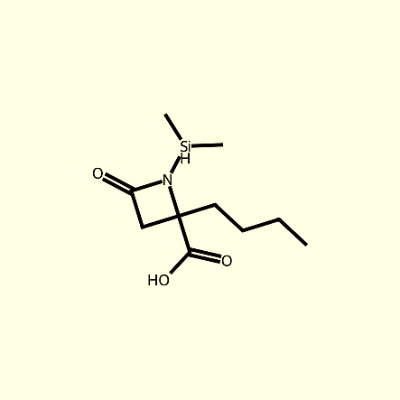 CCCCC1(C(=O)O)CC(=O)N1[SiH](C)C